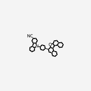 N#Cc1ccc2c(c1)c1ccccc1n2-c1ccc(-c2cc3ccccc3c3c2oc2ccc4ccccc4c23)cc1